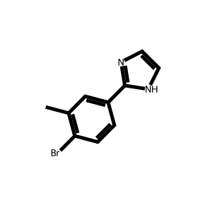 Cc1cc(-c2ncc[nH]2)ccc1Br